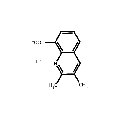 Cc1cc2cccc(C(=O)[O-])c2nc1C.[Li+]